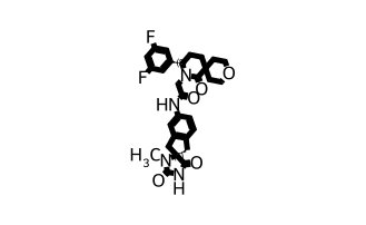 CN1C(=O)NC(=O)[C@@]12Cc1ccc(NC(=O)CN3C(=O)C4(CCOCC4)CC[C@H]3c3cc(F)cc(F)c3)cc1C2